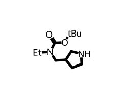 CCN(CC1CCNC1)C(=O)OC(C)(C)C